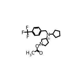 CC(=O)ON1CC[C@H](N(Cc2ccc(C(F)(F)F)cc2)C2CCCC2)C1